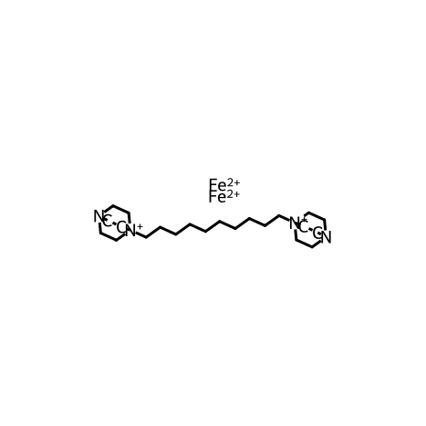 C(CCCCC[N+]12CCN(CC1)CC2)CCCC[N+]12CCN(CC1)CC2.[Fe+2].[Fe+2]